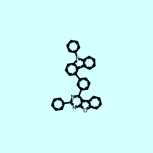 c1ccc(-c2nc(-c3cccc(-c4cccc5c4c4ccccc4n5-c4ccccc4)c3)c3c(n2)oc2ccccc23)cc1